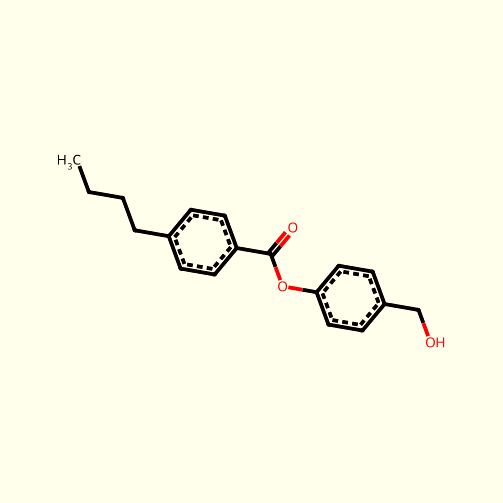 CCCCc1ccc(C(=O)Oc2ccc(CO)cc2)cc1